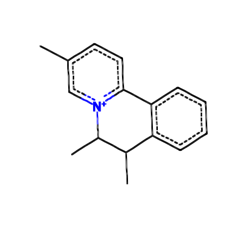 Cc1ccc2[n+](c1)C(C)C(C)c1ccccc1-2